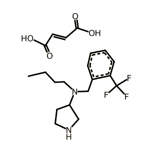 CCCCN(Cc1ccccc1C(F)(F)F)C1CCNC1.O=C(O)/C=C/C(=O)O